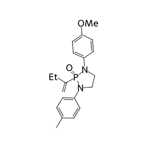 C=C(CC)P1(=O)N(c2ccc(C)cc2)CCN1c1ccc(OC)cc1